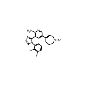 CC(=O)N1CC=C(c2cnc(N)c(-c3nnnn3-c3cccc(F)c3F)c2)CCC1